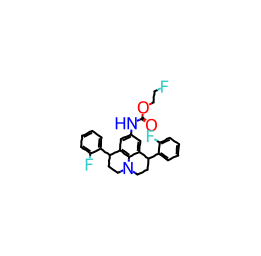 O=C(Nc1cc2c3c(c1)C(c1ccccc1F)CCN3CCC2c1ccccc1F)OCCF